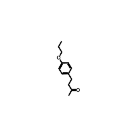 CCCOc1ccc(CCC(C)=O)cc1